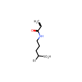 C=CC(=O)NCCCC(CC)S(=O)(=O)O